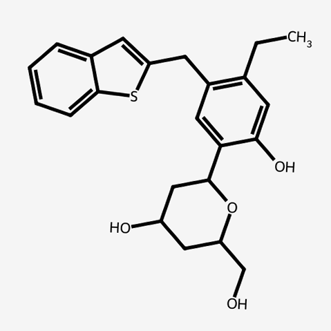 CCc1cc(O)c(C2CC(O)CC(CO)O2)cc1Cc1cc2ccccc2s1